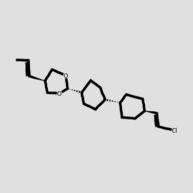 C/C=C/[C@H]1CO[C@H](C2CCC([C@H]3CC[C@H](/C=C/Cl)CC3)CC2)OC1